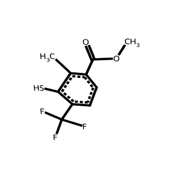 COC(=O)c1ccc(C(F)(F)F)c(S)c1C